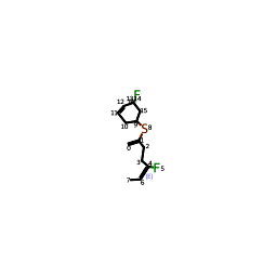 C=C(CC/C(F)=C\C)SC1CC=C[C@H](F)C1